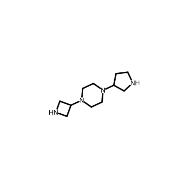 C1CC(N2CCN(C3CNC3)CC2)CN1